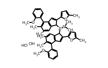 COc1ccccc1-c1c(C)c(C)cc2c1C=C(c1ccc(C)o1)[CH]2[Zr]([CH]1C(c2ccc(C)o2)=Cc2c1cc(C)c(C)c2-c1ccccc1OC)=[Si](C)C.Cl.Cl